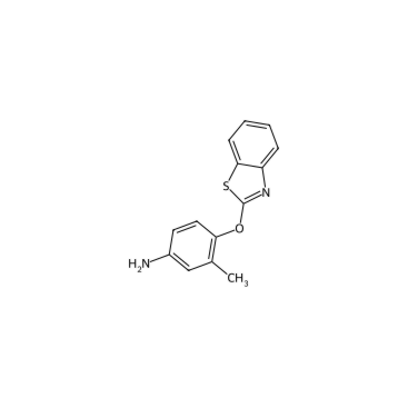 Cc1cc(N)ccc1Oc1nc2ccccc2s1